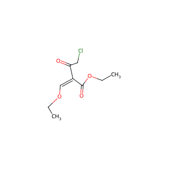 CCOC=C(C(=O)CCl)C(=O)OCC